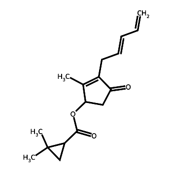 C=C/C=C/CC1=C(C)C(OC(=O)C2CC2(C)C)CC1=O